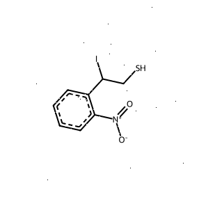 O=[N+]([O-])c1ccccc1C(I)CS